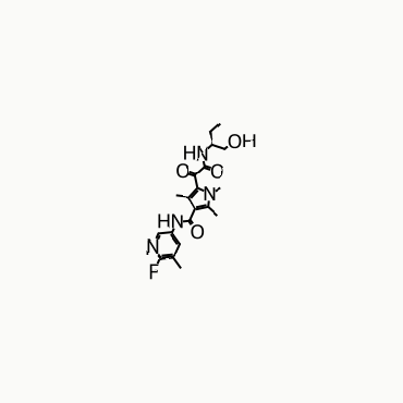 CC[C@@H](CO)NC(=O)C(=O)c1c(C)c(C(=O)Nc2cnc(F)c(C)c2)c(C)n1C